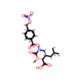 COC(=O)N(C[C@H](CC(=O)O)CC(C)C)OC(=O)c1ccc(CO[N+](=O)[O-])cc1